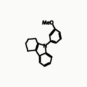 COc1cccc(-n2c3c(c4ccccc42)CCCC3)c1